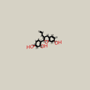 C=CCC1=C(c2ccc(O)cc2O)Oc2cc(O)ccc2C1